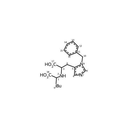 CCC(C)C(NC(Cc1cncn1Cc1ccccc1)C(=O)O)C(=O)O